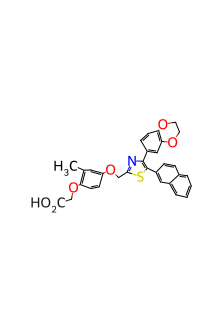 Cc1cc(OCc2nc(-c3ccc4c(c3)OCCO4)c(-c3ccc4ccccc4c3)s2)ccc1OCC(=O)O